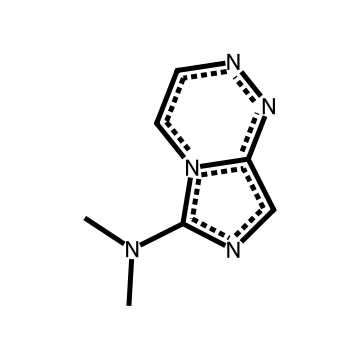 CN(C)c1ncc2nnccn12